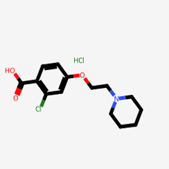 Cl.O=C(O)c1ccc(OCCN2CCCCC2)cc1Cl